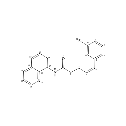 O=C(CC/C=C\c1cccc(F)c1)Nc1cccc2cccnc12